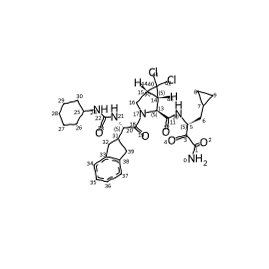 NC(=O)C(=O)[C@H](CC1CC1)NC(=O)[C@@H]1[C@@H]2[C@H](CN1C(=O)[C@@H](NC(=O)NC1CCCCC1)C1Cc3ccccc3C1)C2(Cl)Cl